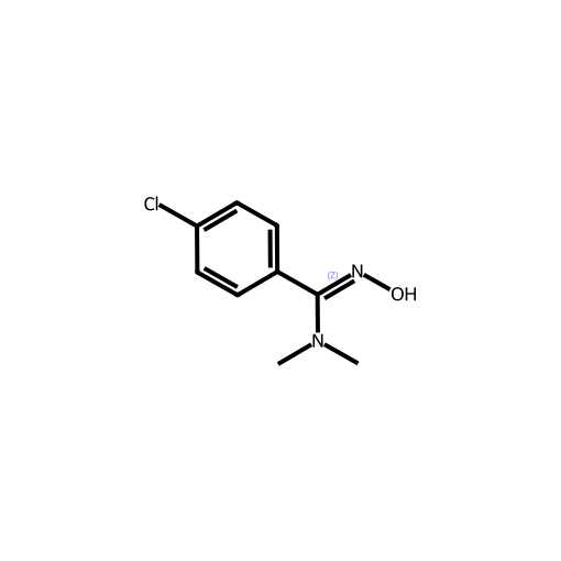 CN(C)/C(=N\O)c1ccc(Cl)cc1